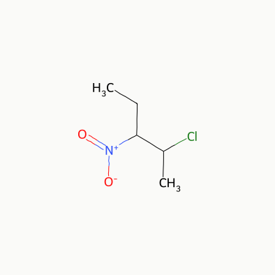 CCC(C(C)Cl)[N+](=O)[O-]